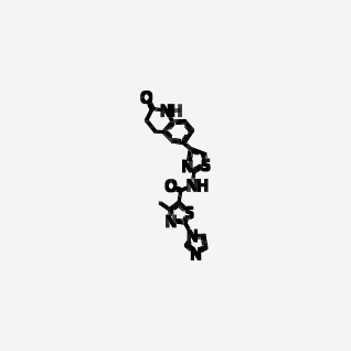 Cc1nc(-n2ccnc2)sc1C(=O)Nc1nc(-c2ccc3c(c2)CCC(=O)N3)cs1